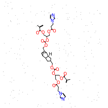 C=C(C)C(=O)OCC(COC(=O)CCn1ccnc1)OC(=O)OCC1CC2C3CC(COC(=O)OC(COC(=O)CCn4ccnc4)COC(=O)C(=C)C)C(C3)[C@H]2C1